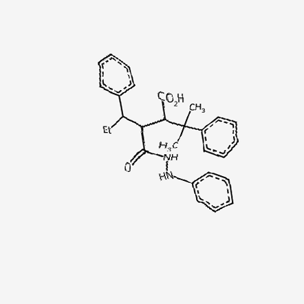 CCC(c1ccccc1)C(C(=O)NNc1ccccc1)C(C(=O)O)C(C)(C)c1ccccc1